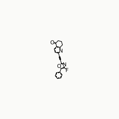 O=C1CCCc2nc(C#Cc3nc(F)c(-c4ccccc4)o3)ccc21